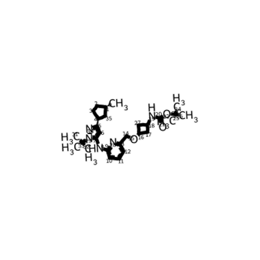 C[C@H]1CC[C@H](c2cc(Nc3cccc(COC4CC(NC(=O)OC(C)(C)C)C4)n3)n(C(C)(C)C)n2)C1